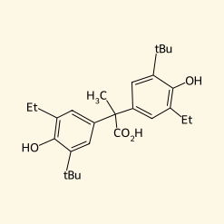 CCc1cc(C(C)(C(=O)O)c2cc(CC)c(O)c(C(C)(C)C)c2)cc(C(C)(C)C)c1O